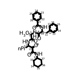 CCCC(NC(=O)[C@H](C)NC(=O)[C@@H](Cc1ccccc1)NC(=O)c1ccccc1)C(=O)C(=O)NC1CCCCC1